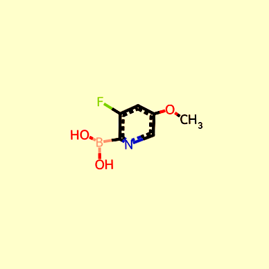 COc1cnc(B(O)O)c(F)c1